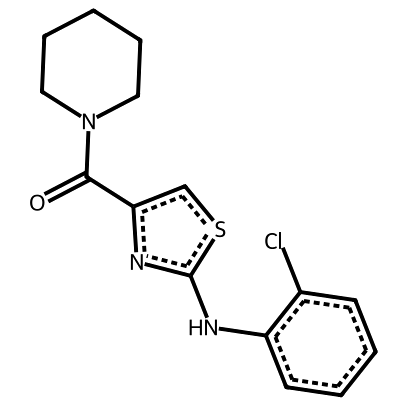 O=C(c1csc(Nc2ccccc2Cl)n1)N1CCCCC1